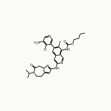 CCCCOC(=O)Nc1c(F)c(-c2cncc(N)c2Cl)cc2cc(Nc3cc4n(n3)CC(=O)N(C(C)C)CC4)ncc12